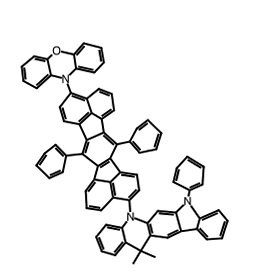 CC1(C)c2ccccc2N(c2ccc3c4c(-c5ccccc5)c5c6cccc7c(N8c9ccccc9Oc9ccccc98)ccc(c5c(-c5ccccc5)c4c4cccc2c43)c76)c2cc3c(cc21)c1ccccc1n3-c1ccccc1